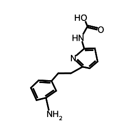 Nc1cccc(CCc2cccc(NC(=O)O)n2)c1